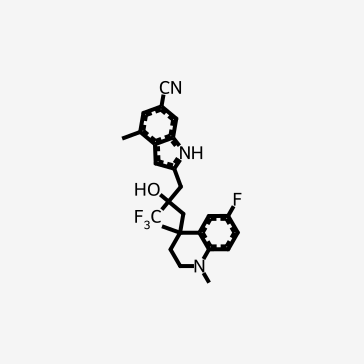 Cc1cc(C#N)cc2[nH]c(CC(O)(CC3(C)CCN(C)c4ccc(F)cc43)C(F)(F)F)cc12